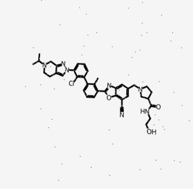 Cc1c(-c2nc3cc(CN4CCC(C(=O)NCCO)C4)cc(C#N)c3o2)cccc1-c1cccc(-n2cc3c(n2)CN(C(C)C)CC3)c1Cl